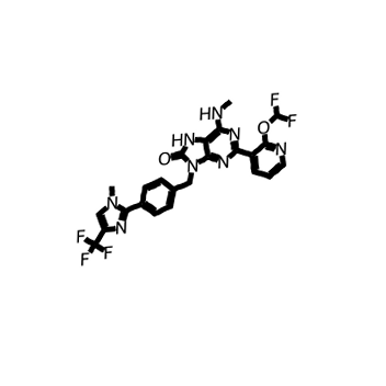 CNc1nc(-c2cccnc2OC(F)F)nc2c1[nH]c(=O)n2Cc1ccc(-c2nc(C(F)(F)F)cn2C)cc1